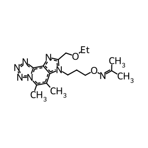 CCOCc1nc2c(c(C)c(C)n3nnnc23)n1CCCON=C(C)C